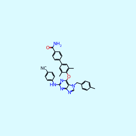 Cc1ccc(Cn2cnc3nc(Nc4ccc(C#N)cc4)nc(Oc4c(C)cc(-c5ccc(C(N)=O)cc5)cc4C)c32)cc1